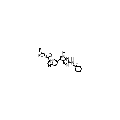 O=C(NCC(F)F)c1cnc2ccc(-c3c[nH]c4nc(NCC5(F)CCCCC5)ncc34)cn12